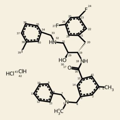 Cc1cc(CN(C)Cc2ccccc2)cc(C(=O)N[C@@H](Cc2cc(F)cc(F)c2)[C@@H](O)CNCc2cccc(I)c2)c1.Cl.Cl